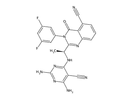 C[C@H](Nc1nc(N)nc(N)c1C#N)c1nc2cccc(C#N)c2c(=O)n1-c1cc(F)cc(F)c1